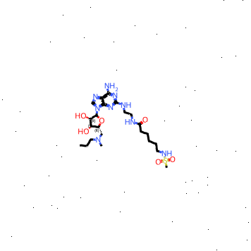 CCCN(C)C[C@H]1OC(n2cnc3c(N)nc(NCCNC(=O)CCCCCNS(C)(=O)=O)nc32)[C@H](O)[C@@H]1O